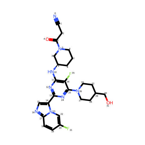 N#CCC(=O)N1CCC[C@@H](Nc2nc(-c3cnc4ccc(F)cn34)nc(N3CCC(CO)CC3)c2F)C1